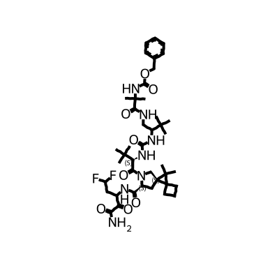 CC(C)(NC(=O)OCc1ccccc1)C(=O)NCC(NC(=O)N[C@H](C(=O)N1C[C@@]2(C[C@H]1C(=O)NC(CC(F)F)C(=O)C(N)=O)C(C)(C)C21CCC1)C(C)(C)C)C(C)(C)C